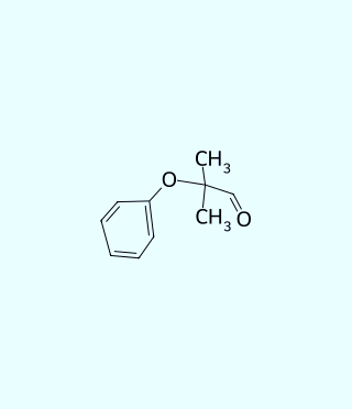 CC(C)(C=O)Oc1ccccc1